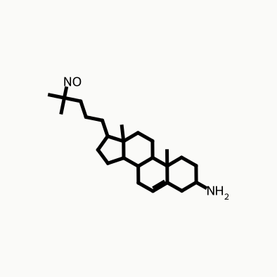 CC(C)(CCCC1CCC2C3CC=C4CC(N)CCC4(C)C3CCC12C)N=O